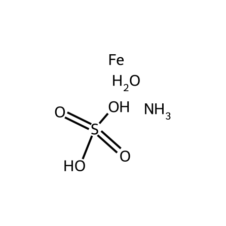 N.O.O=S(=O)(O)O.[Fe]